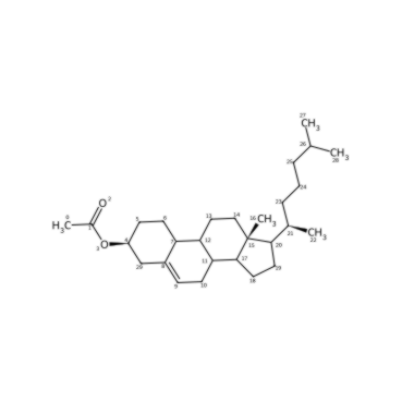 CC(=O)O[C@H]1CCC2C(=CCC3C2CC[C@@]2(C)C3CCC2[C@H](C)CCCC(C)C)C1